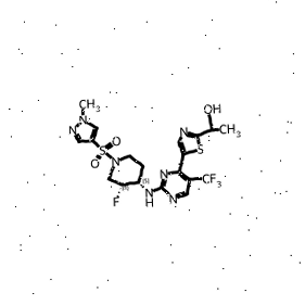 CC(O)c1ncc(-c2nc(N[C@H]3CCN(S(=O)(=O)c4cnn(C)c4)C[C@H]3F)ncc2C(F)(F)F)s1